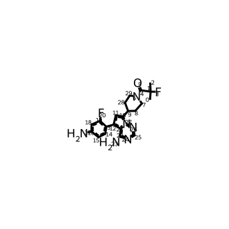 CC(C)(F)C(=O)N1CCC(c2cc(-c3ccc(N)cc3F)c3c(N)ncnn23)CC1